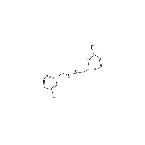 Fc1cccc(CSSCc2cccc(F)c2)c1